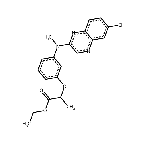 CCOC(=O)C(C)Oc1cccc(N(C)c2cnc3cc(Cl)ccc3n2)c1